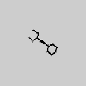 CCC(C#CC1CC[CH]CC1)OC